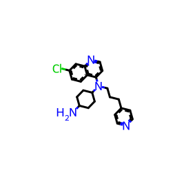 NC1CCC(N(CCCc2ccncc2)c2ccnc3cc(Cl)ccc23)CC1